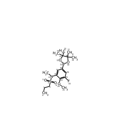 CCCS(=O)(=O)N(C)c1cc(B2OC(C)(C)C(C)(C)O2)cc(F)c1OC